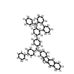 c1ccc(-c2ccc(N(c3ccc(-c4ccc5c(c4)-c4ccccc4-c4ccccc4N5c4ccccc4)cc3)c3ccc4c(c3)oc3cc5ccccc5cc34)cc2)cc1